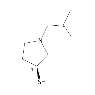 C[C](C)CN1CC[C@H](S)C1